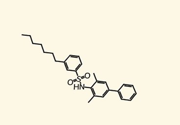 CCCCCCCc1cccc(S(=O)(=O)Nc2c(C)cc(-c3ccccc3)cc2C)c1